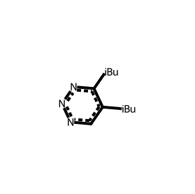 CCC(C)c1cnnnc1C(C)CC